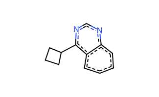 c1ccc2c(C3CCC3)ncnc2c1